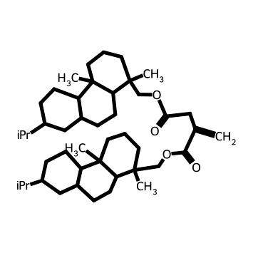 C=C(CC(=O)OCC1(C)CCCC2(C)C3CCC(C(C)C)CC3CCC12)C(=O)OCC1(C)CCCC2(C)C3CCC(C(C)C)CC3CCC12